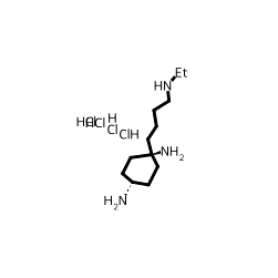 CCNCCCC[C@]1(N)CC[C@H](N)CC1.Cl.Cl.Cl.Cl